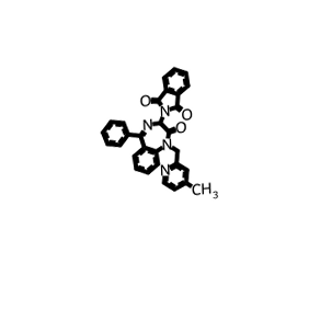 Cc1ccnc(CN2C(=O)C(N3C(=O)c4ccccc4C3=O)N=C(c3ccccc3)c3ccccc32)c1